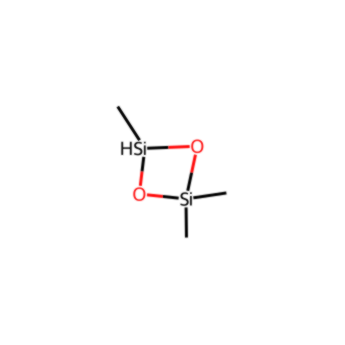 C[SiH]1O[Si](C)(C)O1